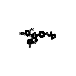 CC(=O)N1C[C@H](O)C[C@@H]1c1nc(-c2ccc(OCC3(C)COC3)cc2)c2cnc3[nH]ccc3n12